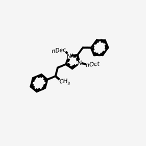 CCCCCCCCCC[n+]1c(CC(C)c2ccccc2)cn(CCCCCCCC)c1Cc1ccccc1